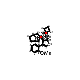 COc1ccccc1-c1csc2ncnc(N3C4CCC3CC(NC3CCC3)C4)c12